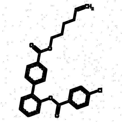 C=CCCCCOC(=O)c1ccc(-c2ccccc2OC(=O)c2ccc(Cl)cc2)cc1